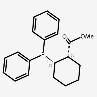 COC(=O)[C@@H]1CCCC[C@@H]1P(c1ccccc1)c1ccccc1